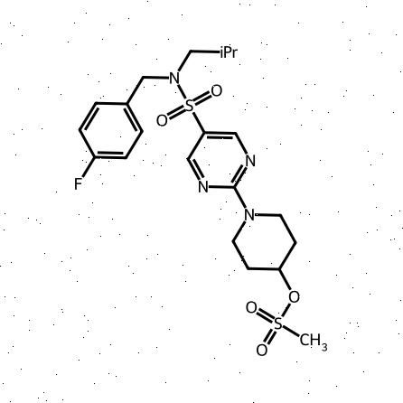 CC(C)CN(Cc1ccc(F)cc1)S(=O)(=O)c1cnc(N2CCC(OS(C)(=O)=O)CC2)nc1